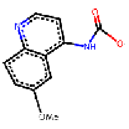 COc1ccc2nccc(NC([O])=O)c2c1